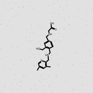 Cc1cnc(CNCc2ccc(CNCC(=O)O)cc2CO)c(C)c1